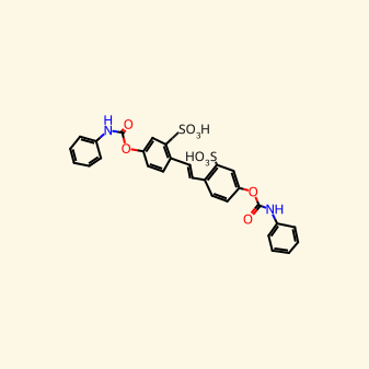 O=C(Nc1ccccc1)Oc1ccc(C=Cc2ccc(OC(=O)Nc3ccccc3)cc2S(=O)(=O)O)c(S(=O)(=O)O)c1